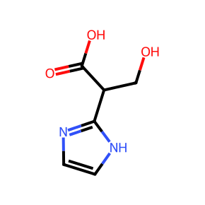 O=C(O)C(CO)c1ncc[nH]1